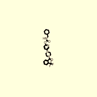 O=C(NCC1CCCCC1)Oc1ccc(N2CCN(C(=O)c3ccccc3C(F)(F)F)CC2)cn1